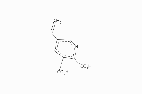 C=Cc1cnc(C(=O)O)c(C(=O)O)c1